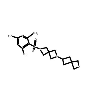 Cc1cc(C(F)(F)F)nc(C)c1S(=O)(=O)N1CC2(CN(C3CC4(COC4)C3)C2)C1